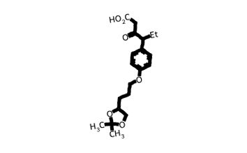 CCC(C(=O)CC(=O)O)c1ccc(OCCCC2COC(C)(C)O2)cc1